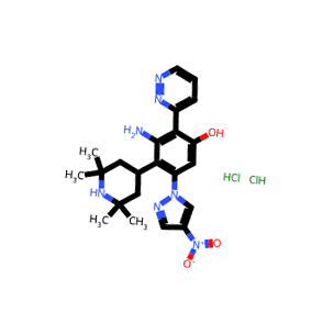 CC1(C)CC(c2c(-n3cc([N+](=O)[O-])cn3)cc(O)c(-c3cccnn3)c2N)CC(C)(C)N1.Cl.Cl